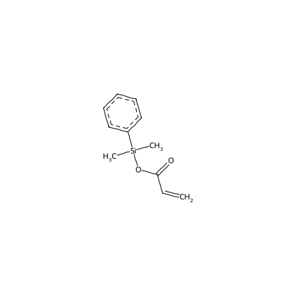 C=CC(=O)O[Si](C)(C)c1ccccc1